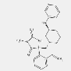 C=Cc1ccccc1[C@@]1(C[C@H]2CCC[C@H](Nc3cccnc3)C2)NC(=N)N(C)C1=O